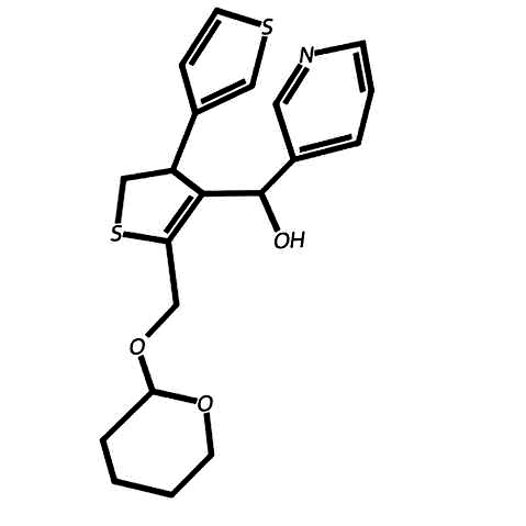 OC(C1=C(COC2CCCCO2)SCC1c1ccsc1)c1cccnc1